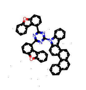 c1ccc2c(c1)ccc1ccc3c(ccc4c3c3ccccc3n4-c3nc(-c4cccc5oc6ccccc6c45)nc(-c4cccc5oc6ccccc6c45)n3)c12